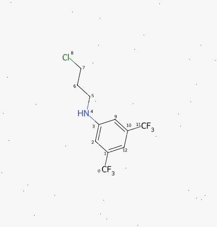 FC(F)(F)c1cc(NCCCCl)cc(C(F)(F)F)c1